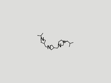 CC(C)C[C@@H]1CCN(CC2CN(CC3CN(C(C)C)C3)C2)C1